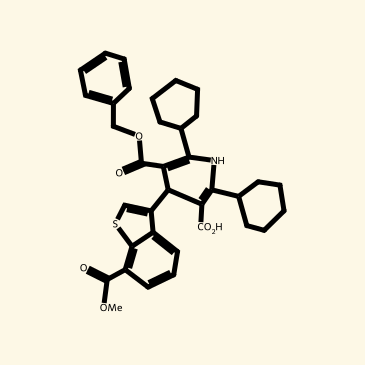 COC(=O)c1cccc2c(C3C(C(=O)O)=C(C4CCCCC4)NC(C4CCCCC4)=C3C(=O)OCc3ccccc3)csc12